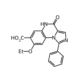 CCOc1cc2c(cc1C(=O)O)[nH]c(=O)c1cnc(-c3ccccc3)n12